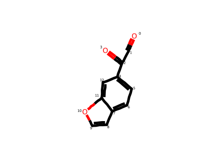 O=CC(=O)c1ccc2ccoc2c1